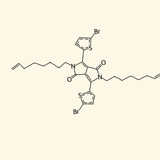 C=CCCCCCCN1C(=O)C2=C(c3ccc(Br)s3)N(CCCCCCC=C)C(=O)C2=C1c1ccc(Br)s1